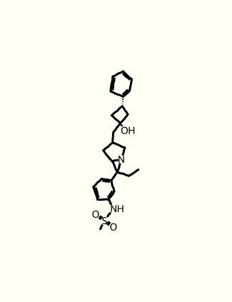 CCC1(c2cccc(NS(C)(=O)=O)c2)C2CC(C[C@]3(O)C[C@H](c4ccccc4)C3)CN21